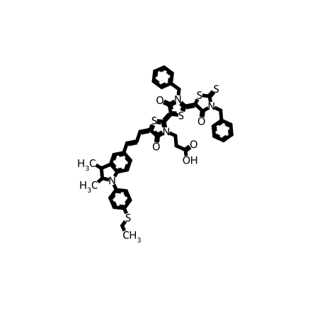 CCSc1ccc(N2c3ccc(C=CC=c4s/c(=c5/s/c(=C6/SC(=S)N(Cc7ccccc7)C6=O)n(Cc6ccccc6)c5=O)n(CCC(=O)O)c4=O)cc3C(C)C2C)cc1